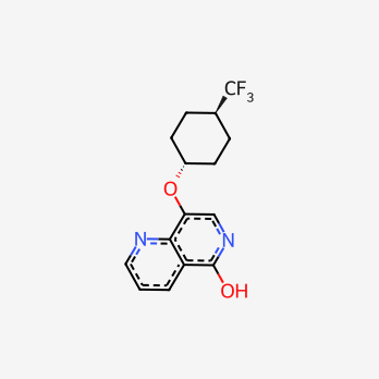 Oc1ncc(O[C@H]2CC[C@H](C(F)(F)F)CC2)c2ncccc12